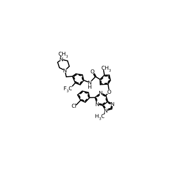 Cc1ccc(Oc2nc(-c3cccc(Cl)c3)nc3c2ncn3C)cc1C(=O)Nc1ccc(CN2CCN(C)CC2)c(C(F)(F)F)c1